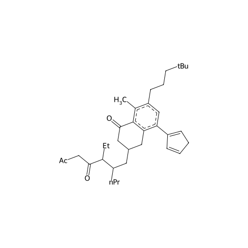 CCCC(CC1CC(=O)c2c(C)c(CCCC(C)(C)C)cc(C3=CCC=C3)c2C1)C(CC)C(=O)CC(C)=O